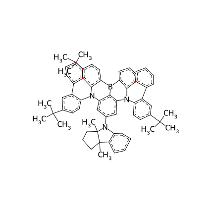 CC(C)(C)c1ccc(N2c3ccccc3B3c4ccc(C(C)(C)C)cc4N(c4ccc(C(C)(C)C)cc4-c4ccccc4)c4cc(N5c6ccccc6C6(C)CCCC56C)cc2c43)c(-c2ccccc2)c1